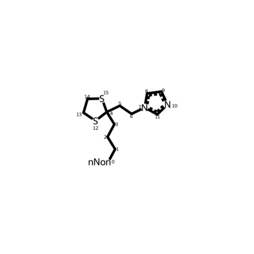 CCCCCCCCCCCCC1(CCn2ccnc2)SCCS1